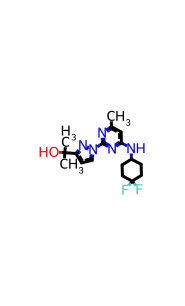 Cc1cc(NC2CCC(F)(F)CC2)nc(-n2ccc(C(C)(C)O)n2)n1